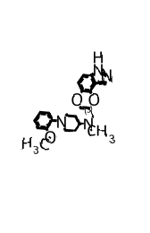 COc1ccccc1N1CCC(N(C)C[C@H]2COc3ccc4[nH]ncc4c3O2)CC1